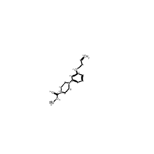 C=CCOc1cccc(N2CCN(C(=O)OC(C)(C)C)CC2)c1